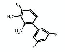 Cc1c(Cl)c[c]c(-c2cc(F)cc(F)c2)c1N